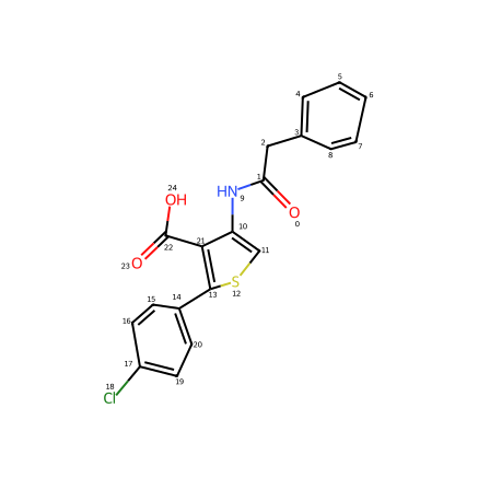 O=C(Cc1ccccc1)Nc1csc(-c2ccc(Cl)cc2)c1C(=O)O